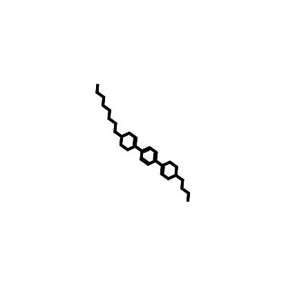 CCCCCCCCC1CC=C(c2ccc(C3=CCC(CCCC)CC3)cc2)CC1